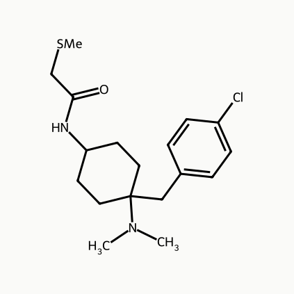 CSCC(=O)NC1CCC(Cc2ccc(Cl)cc2)(N(C)C)CC1